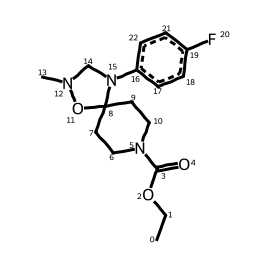 CCOC(=O)N1CCC2(CC1)ON(C)CN2c1ccc(F)cc1